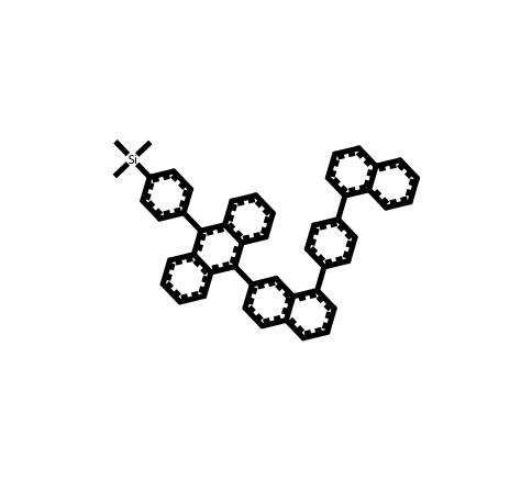 C[Si](C)(C)c1ccc(-c2c3ccccc3c(-c3ccc4cccc(-c5ccc(-c6cccc7ccccc67)cc5)c4c3)c3ccccc23)cc1